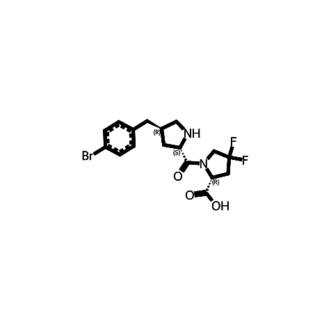 O=C(O)[C@H]1CC(F)(F)CN1C(=O)[C@@H]1C[C@@H](Cc2ccc(Br)cc2)CN1